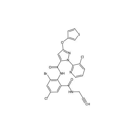 C#CCNC(=O)c1cc(Cl)cc(Br)c1NC(=O)c1cc(Oc2ccsc2)nn1-c1ncccc1Cl